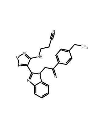 CCc1ccc(C(=O)Cn2c(-c3nonc3NCCC#N)nc3ccccc32)cc1